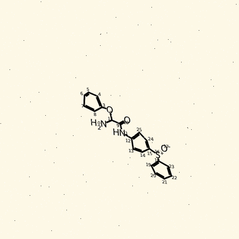 NC(Oc1ccccc1)C(=O)Nc1ccc([S+]([O-])c2ccccc2)cc1